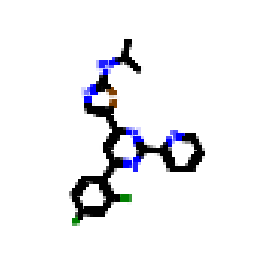 CC(C)Nc1ncc(-c2cc(-c3ccc(F)cc3F)nc(-c3ccccn3)n2)s1